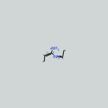 C/C=N\C(N)=C/C